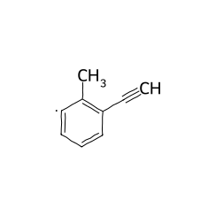 C#Cc1ccc[c]c1C